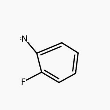 [N]c1ccccc1F